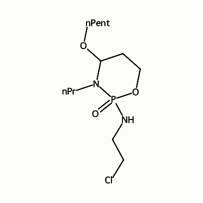 CCCCCOC1CCOP(=O)(NCCCl)N1CCC